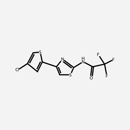 O=C(Nc1nc(-c2cc(Cl)cs2)cs1)C(F)(F)F